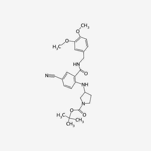 COc1ccc(CNC(=O)c2cc(C#N)ccc2NC2CCN(C(=O)OC(C)(C)C)C2)cc1OC